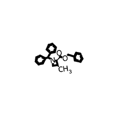 C[C@H]1CN(C(c2ccccc2)c2ccccc2)[C@H]1C(=O)OCc1ccccc1